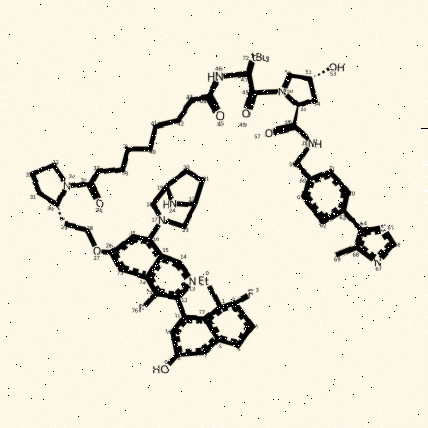 CCc1c(F)ccc2cc(O)cc(-c3ncc4c(N5CC6CCC(C5)N6)cc(OCC[C@@H]5CCCN5C(=O)CCCCCCCC(=O)NC(C(=O)N5C[C@H](O)C[C@H]5C(=O)NCc5ccc(-c6scnc6C)cc5)C(C)(C)C)cc4c3F)c12